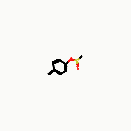 Cc1ccc(OS(C)=O)cc1